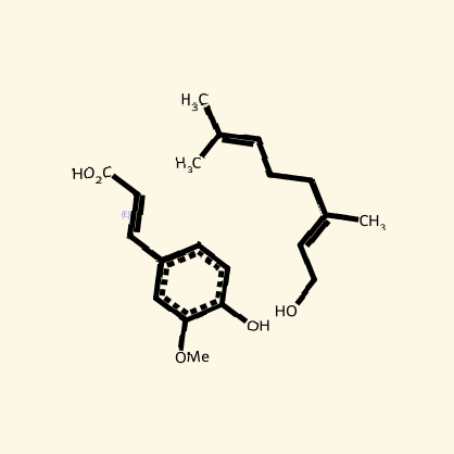 CC(C)=CCCC(C)=CCO.COc1cc(/C=C/C(=O)O)ccc1O